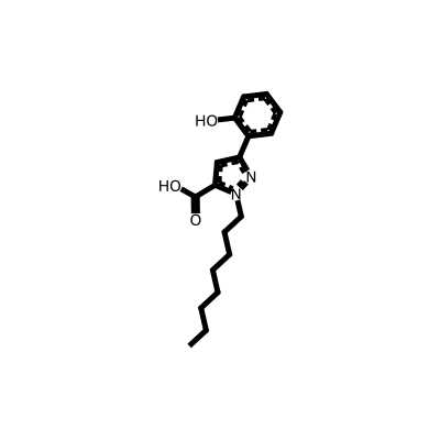 CCCCCCCCn1nc(-c2ccccc2O)cc1C(=O)O